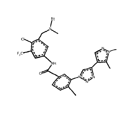 CCN(C)Cc1cc(NC(=O)c2ccc(C)c(-n3cc(-c4cnn(C)c4C)nn3)c2)cc(C(F)(F)F)c1Cl